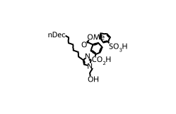 CCCCCCCCCCCCCCCCc1cn(CCO)cn1.COC(=O)c1cccc(C(=O)O)c1.O=S(=O)(O)c1ccccc1